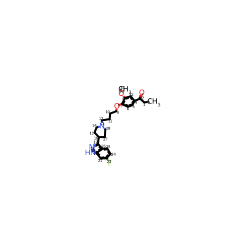 CCC(=O)c1ccc(OCCCCN2CCC(c3n[nH]c4cc(F)ccc34)CC2)c(OC)c1